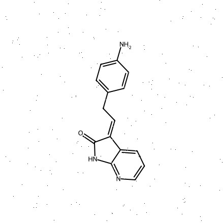 Nc1ccc(CC=C2C(=O)Nc3ncccc32)cc1